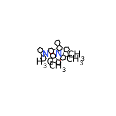 CC1(C)c2ccccc2-c2c(N(c3cccc4c3-c3ccccc3C4(C)C)c3ccc4ccccc4c3-c3ccc(-n4c5ccccc5c5ccccc54)cc3)cccc21